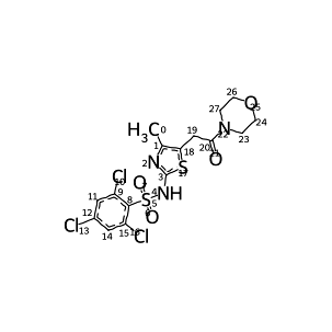 Cc1nc(NS(=O)(=O)c2c(Cl)cc(Cl)cc2Cl)sc1CC(=O)N1CCOCC1